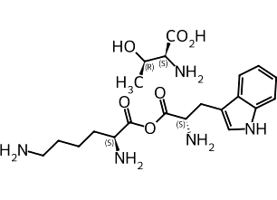 C[C@@H](O)[C@H](N)C(=O)O.NCCCC[C@H](N)C(=O)OC(=O)[C@@H](N)Cc1c[nH]c2ccccc12